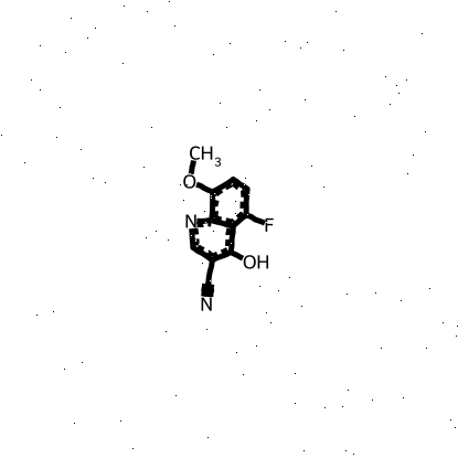 COc1ccc(F)c2c(O)c(C#N)cnc12